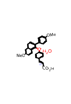 COc1ccc(-c2ccc3cc(OC)ccc3c2Oc2ccc(/C=C/C(=O)O)cc2)cc1.O